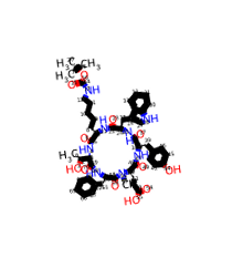 C[C@@H](O)[C@@H]1NC(=O)[C@H](CCCCCNC(=O)OC(C)(C)C)NC(=O)[C@@H](Cc2c[nH]c3ccccc23)NC(=O)[C@H](Cc2ccc(O)cc2)NC(=O)[C@H](CCC(=O)O)N(C)C(=O)[C@H](Cc2ccccc2)NC1=O